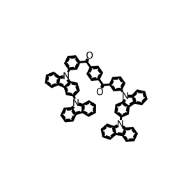 O=C(c1ccc(C(=O)c2cccc(-n3c4ccccc4c4cc(-n5c6ccccc6c6ccccc65)ccc43)c2)cc1)c1cccc(-n2c3ccccc3c3cc(-n4c5ccccc5c5ccccc54)ccc32)c1